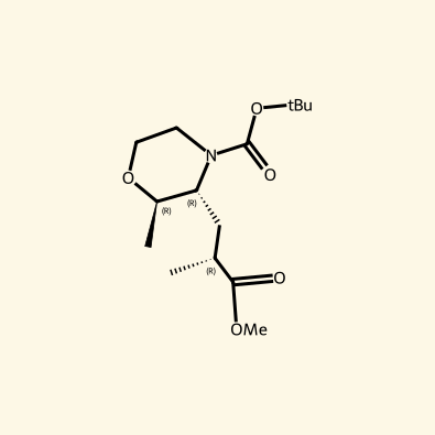 COC(=O)[C@H](C)C[C@@H]1[C@@H](C)OCCN1C(=O)OC(C)(C)C